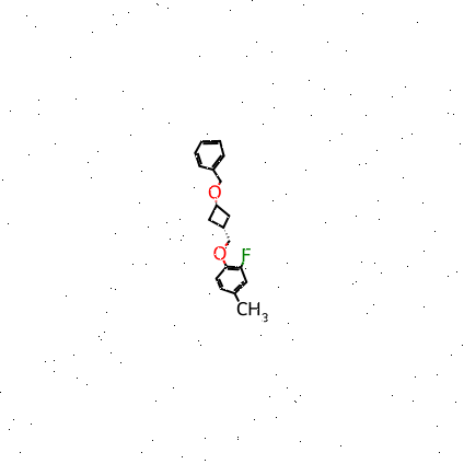 Cc1ccc(OC[C@H]2C[C@@H](OCc3ccccc3)C2)c(F)c1